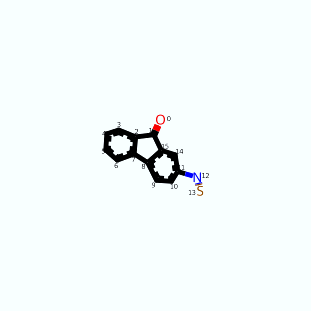 O=C1c2ccccc2-c2ccc(N=S)cc21